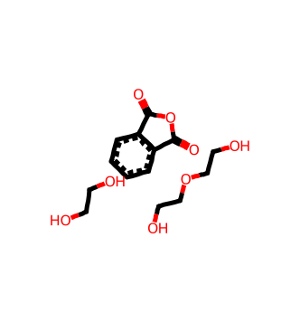 O=C1OC(=O)c2ccccc21.OCCO.OCCOCCO